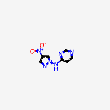 O=[N+]([O-])c1cnn(Nc2ccncn2)c1